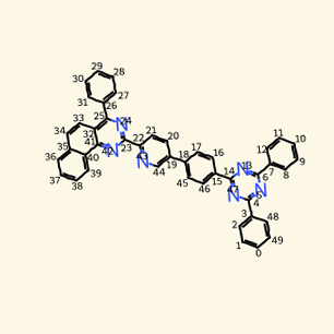 c1ccc(-c2nc(-c3ccccc3)nc(-c3ccc(-c4ccc(-c5nc(-c6ccccc6)c6ccc7ccccc7c6n5)nc4)cc3)n2)cc1